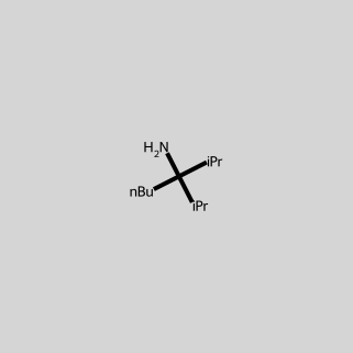 CCCCC(N)(C(C)C)C(C)C